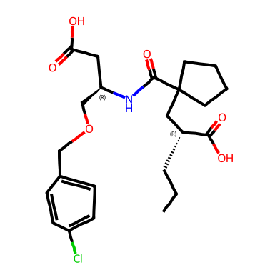 CCC[C@H](CC1(C(=O)N[C@@H](COCc2ccc(Cl)cc2)CC(=O)O)CCCC1)C(=O)O